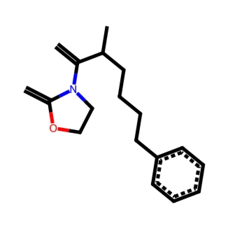 C=C1OCCN1C(=C)C(C)CCCCc1ccccc1